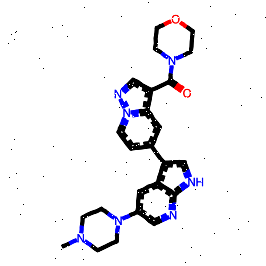 CN1CCN(c2cnc3[nH]cc(-c4ccn5ncc(C(=O)N6CCOCC6)c5c4)c3c2)CC1